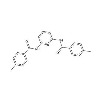 Cc1ccc(C(=O)Nc2cccc(NC(=O)c3ccc(C)cc3)n2)cc1